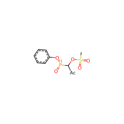 CC(=O)C(OS(C)(=O)=O)[PH](=O)Oc1ccccc1